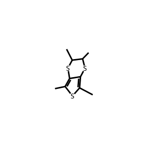 Cc1sc(C)c2c1SC(C)C(C)S2